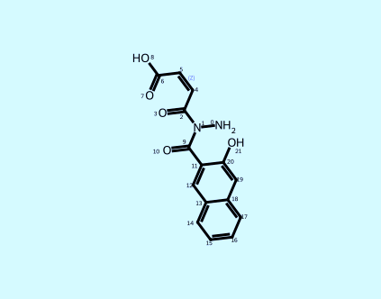 NN(C(=O)/C=C\C(=O)O)C(=O)c1cc2ccccc2cc1O